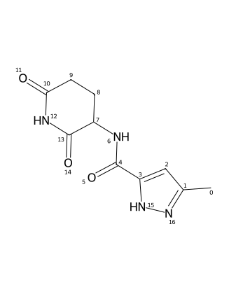 Cc1cc(C(=O)NC2CCC(=O)NC2=O)[nH]n1